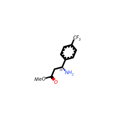 COC(=O)C[C@H](N)c1ccc(C(F)(F)F)cc1